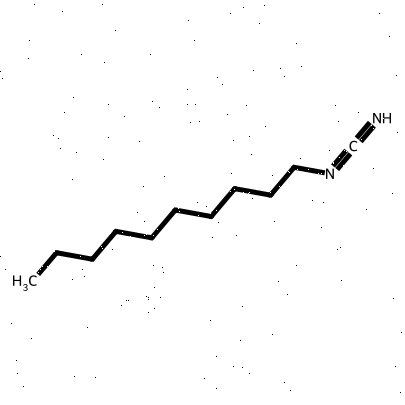 CCCCCCCCCCN=C=N